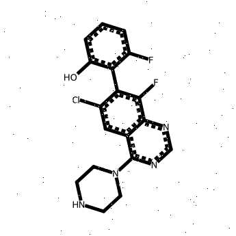 Oc1cccc(F)c1-c1c(Cl)cc2c(N3CCNCC3)ncnc2c1F